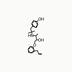 C=CCc1ccccc1OCC(O)C(C)NC(C)(C)Cc1ccc(O)cc1